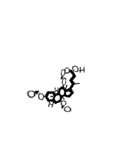 C[C@H](CCC(=O)O)C1CCC2[C@]1(C)[C@@H](OC=O)C[C@@H]1[C@@]3(C)CC[C@@H](OC=O)C[C@H]3C[C@@H](OC=O)[C@@]21C